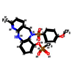 O=S(=O)(c1ccc(OC(F)(F)F)cc1)N1Cc2ccc(C(F)(F)F)nc2Nc2cccc(OS(=O)(=O)C(F)(F)F)c21